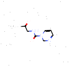 COC(=O)CNC(=O)N1C=CC=NC1